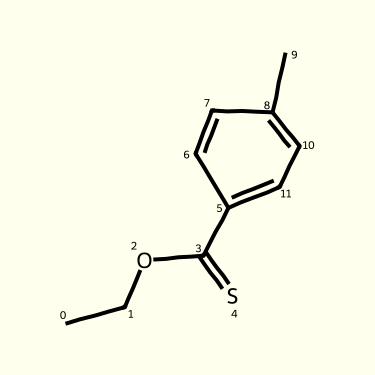 CCOC(=S)c1ccc(C)cc1